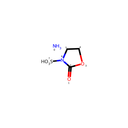 N.O=C1OCCN1S(=O)(=O)O